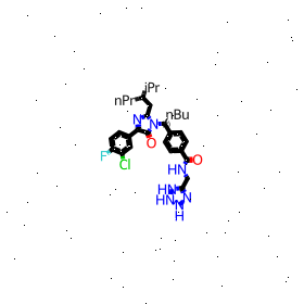 CCCC[C@H](c1ccc(C(=O)NCC2=NNNN2)cc1)N1C(=O)C(c2ccc(F)c(Cl)c2)=NC1CC(CCC)C(C)C